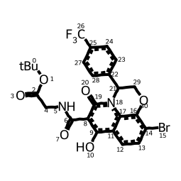 CC(C)(C)OC(=O)CNC(=O)c1c(O)c2ccc(Br)c3c2n(c1=O)C(c1ccc(C(F)(F)F)cc1)CO3